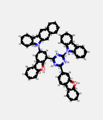 c1ccc2cc3c(cc2c1)c1ccccc1n3-c1cc(-c2nc(-c3ccc4c(c3)oc3ccccc34)nc(-n3c4ccccc4c4ccccc43)n2)c2oc3ccccc3c2c1